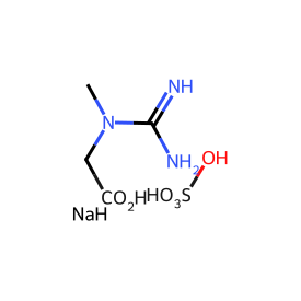 CN(CC(=O)O)C(=N)N.O=S(=O)(O)O.[NaH]